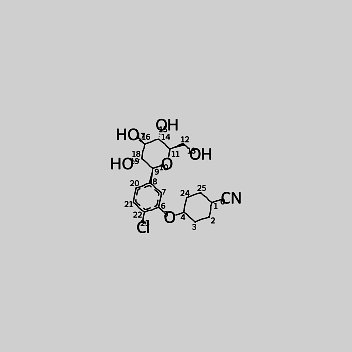 N#CC1CCC(Oc2cc([C@@H]3O[C@H](CO)[C@@H](O)[C@H](O)[C@H]3O)ccc2Cl)CC1